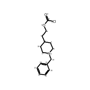 O=C(Cl)OCCC1CCN(Cc2ccccc2)CC1